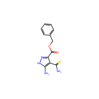 NC(=S)c1c(C(=O)OCc2ccccc2)n[nH]c1N